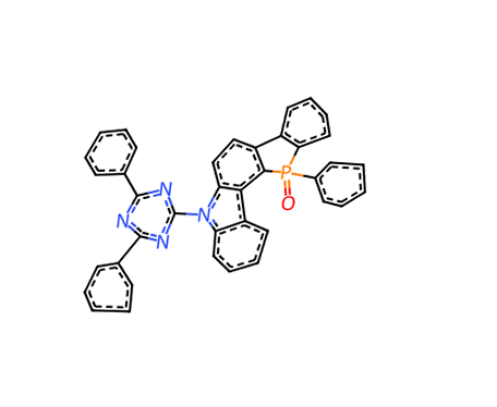 O=P1(c2ccccc2)c2ccccc2-c2ccc3c(c21)c1ccccc1n3-c1nc(-c2ccccc2)nc(-c2ccccc2)n1